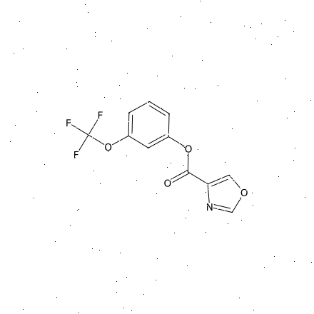 O=C(Oc1cccc(OC(F)(F)F)c1)c1cocn1